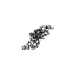 CC(C)(C)c1ccc2c(c1)C1(c3ccccc3Sc3ccc(N(c4ccc5c(c4)C4(c6ccccc6-5)c5cc(C(C)(C)C)ccc5-c5ccc(C(C)(C)C)cc54)c4cccc5sc6ccccc6c45)cc31)c1cc(C(C)(C)C)ccc1-2